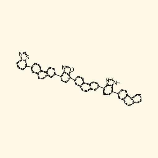 Cn1cnc2c(-c3ccc4c(ccc5cc(-c6ccc(-c7ccc8c(ccc9cc(-c%10cccc%11ncsc%10%11)ccc98)c7)c7ncoc67)ccc54)c3)ccc(-c3ccc4c(ccc5ccccc54)c3)c21